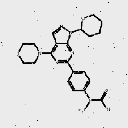 CN(C(=O)O)c1ccc(-c2nc(N3CCOCC3)c3cnn(C4CCCCO4)c3n2)cc1